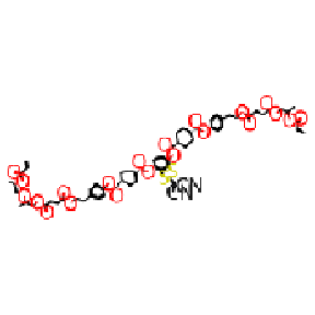 C=CC(=O)OC(C)COC(=O)CCC(=O)OCCc1ccc(OC(=O)[C@H]2CC[C@H](C(=O)Oc3ccc(OC(=O)[C@H]4CC[C@H](C(=O)Oc5ccc(CCOC(=O)CCC(=O)OCC(C)OCC(C)OC(=O)C=C)cc5)CC4)c4c3SC(=C(C#N)C#N)S4)CC2)cc1